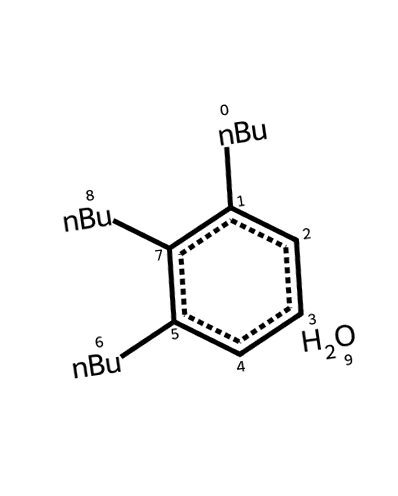 CCCCc1cccc(CCCC)c1CCCC.O